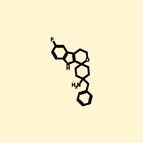 NC1(Cc2ccccc2)CCC2(CC1)OCCc1c2[nH]c2ccc(F)cc12